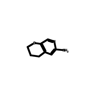 Nc1cc2c(cn1)OCCC2